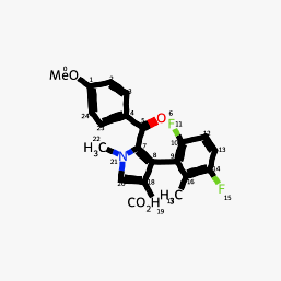 COc1ccc(C(=O)c2c(-c3c(F)ccc(F)c3C)c(C(=O)O)cn2C)cc1